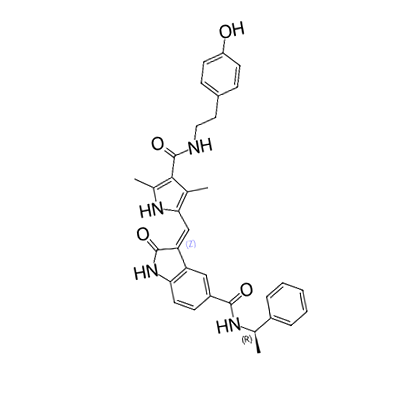 Cc1[nH]c(/C=C2\C(=O)Nc3ccc(C(=O)N[C@H](C)c4ccccc4)cc32)c(C)c1C(=O)NCCc1ccc(O)cc1